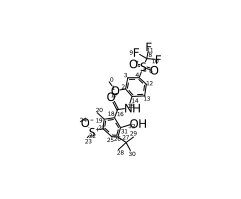 COc1cc(S(=O)(=O)C(F)(F)F)ccc1NC(=O)c1c(C)c([S+](C)[O-])cc(C(C)(C)C)c1O